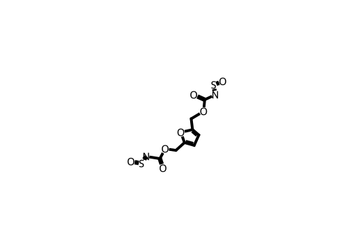 O=S=NC(=O)OCc1ccc(COC(=O)N=S=O)o1